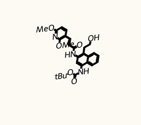 COc1ccc(C=CC(=O)Nc2cc(NC(=O)OC(C)(C)C)c3ccccc3c2CCO)c(OC)n1